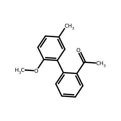 COc1ccc(C)cc1-c1ccccc1C(C)=O